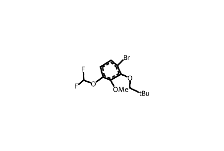 COc1c(OC(F)F)ccc(Br)c1OCC(C)(C)C